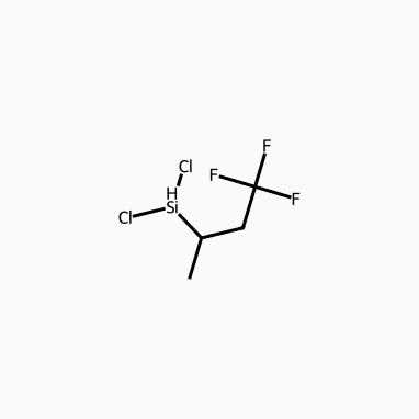 CC(CC(F)(F)F)[SiH](Cl)Cl